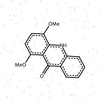 COc1ccc(OC)c2c(=O)c3ccccc3[nH]c12